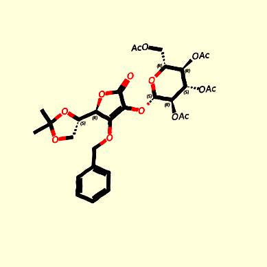 CC(=O)OC[C@H]1O[C@@H](OC2=C(OCc3ccccc3)[C@@H]([C@@H]3COC(C)(C)O3)OC2=O)[C@H](OC(C)=O)[C@@H](OC(C)=O)[C@@H]1OC(C)=O